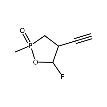 C#CC1CP(C)(=O)OC1F